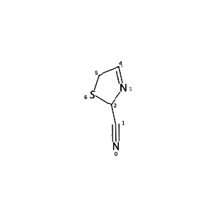 N#CC1N=[C]CS1